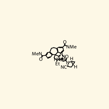 CC[C@@H](CC1(c2nnn[nH]2)c2ccc(C(=O)NC)cc2CCc2cc(C(=O)NC)ccc21)NCC(=O)N1[C@H](C#N)C[C@@H]2C[C@@H]21